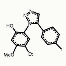 CCc1cc(-n2nncc2-c2ccc(I)cc2)c(O)cc1OC